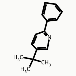 CC(C)(C)c1ccc(-c2ccccc2)nc1